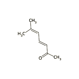 CC(=O)C=CC=C(C)C